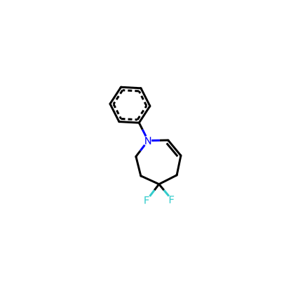 FC1(F)CC=CN(c2ccccc2)CC1